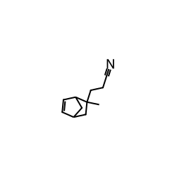 CC1(CCC#N)CC2C=CC1C2